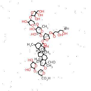 CC[C@H](C)[C@@H](O)C[C@H](O)CC(=O)O[C@H]1CO[C@@H](OC(=O)[C@]23CC[C@H](C)C[C@H]2C2=CCC4[C@@]5(C)CC[C@H](O[C@H]6C[C@@H](O[C@@H]7O[C@@H](C)[C@H](O)C[C@H]7O)C[C@@H](C(=O)O)O6)[C@@](C)(C=O)C5CC[C@@]4(C)[C@]2(C)C[C@H]3O)[C@H](O[C@@H]2O[C@@H](C)[C@H](O[C@H]3C[C@@H](O[C@@H]4OC[C@](O)(CO)[C@H]4O)[C@H](O)CO3)[C@@H](O)[C@H]2O)C1